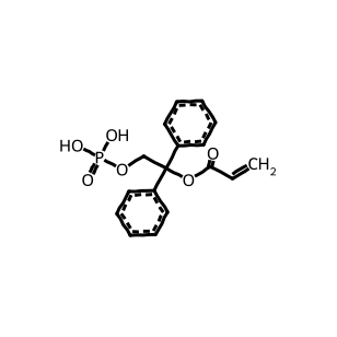 C=CC(=O)OC(COP(=O)(O)O)(c1ccccc1)c1ccccc1